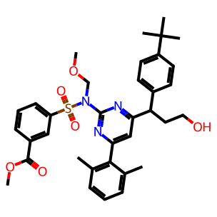 COCN(c1nc(-c2c(C)cccc2C)cc(C(CCO)c2ccc(C(C)(C)C)cc2)n1)S(=O)(=O)c1cccc(C(=O)OC)c1